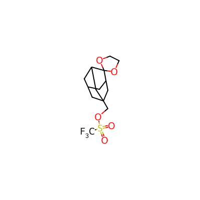 O=S(=O)(OCC12CC3CC(C1)C1(OCCO1)C(C3)C2)C(F)(F)F